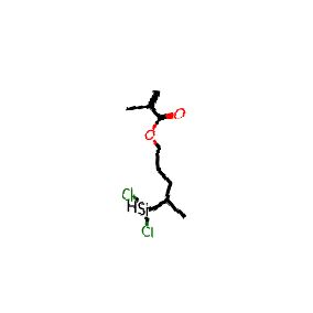 C=C(C)C(=O)OCCCC(C)[SiH](Cl)Cl